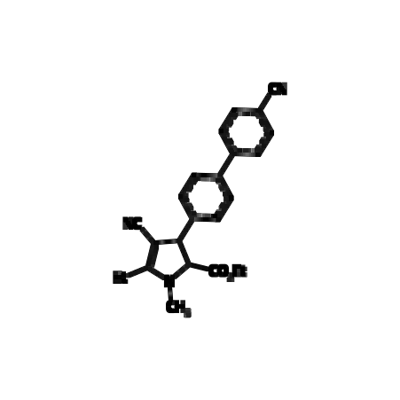 CCOC(=O)C1C(c2ccc(-c3ccc(C#N)cc3)cc2)C(C#N)=C(CC)N1C